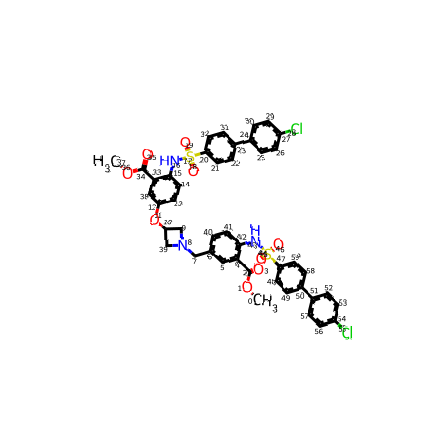 COC(=O)c1cc(CN2CC(Oc3ccc(NS(=O)(=O)c4ccc(-c5ccc(Cl)cc5)cc4)c(C(=O)OC)c3)C2)ccc1NS(=O)(=O)c1ccc(-c2ccc(Cl)cc2)cc1